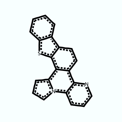 c1ccc2c(c1)sc1c2ccc2c3ncccc3n3cccc3c21